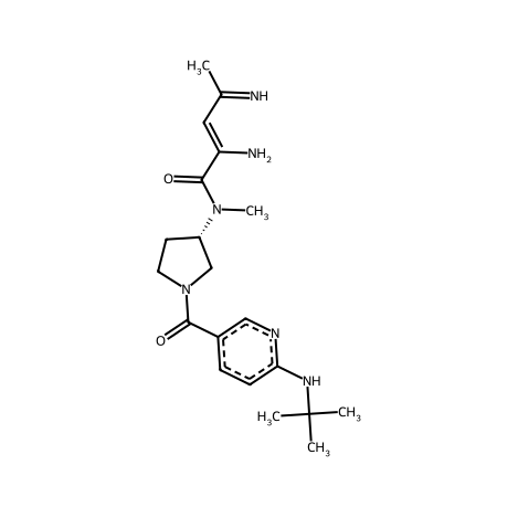 CC(=N)/C=C(\N)C(=O)N(C)[C@H]1CCN(C(=O)c2ccc(NC(C)(C)C)nc2)C1